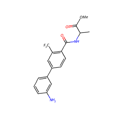 COC(=O)C(C)NC(=O)c1ccc(-c2cccc(N)c2)cc1C(F)(F)F